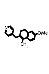 COc1ccc2c(c1)CCC(Cc1ccncc1)=C2C